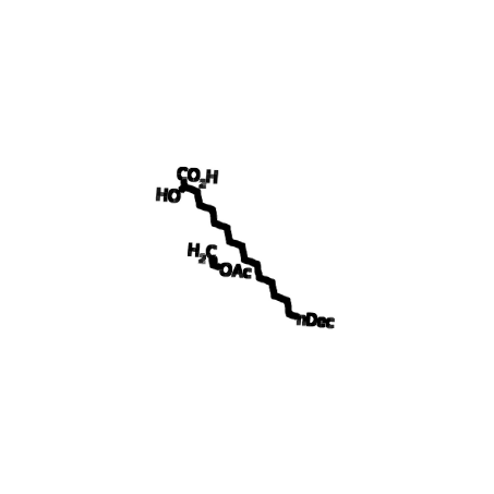 C=COC(C)=O.CCCCCCCCCCCCCCCCCCCCCCCCC(O)C(=O)O